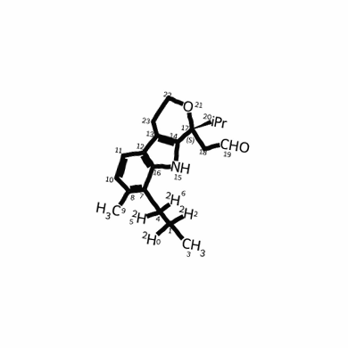 [2H]C([2H])(C)C([2H])([2H])c1c(C)ccc2c3c([nH]c12)[C@](CC=O)(C(C)C)OCC3